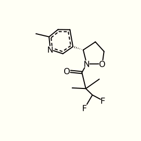 Cc1ccc([C@@H]2CCON2C(=O)C(C)(C)C(F)F)cn1